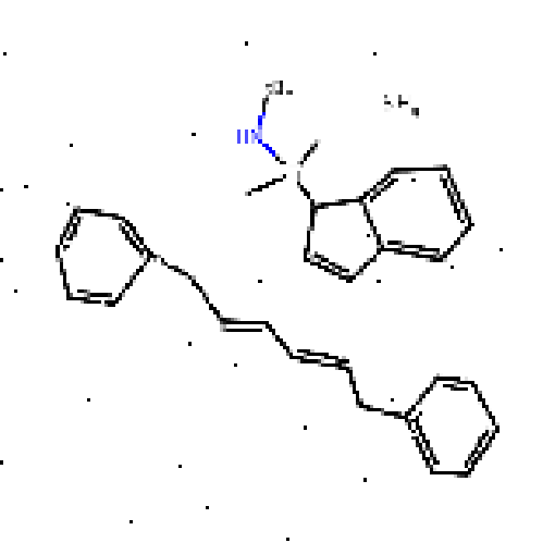 C(C=CCc1ccccc1)=CCc1ccccc1.CC(C)(C)[NH][Ti]([CH3])([CH3])[CH]1C=Cc2ccccc21.[SiH4]